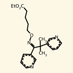 CCOC(=O)CCCCON=C(c1cccnc1)C(C)(C)c1cccnc1